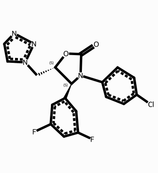 O=C1O[C@@H](Cn2ccnn2)[C@H](c2cc(F)cc(F)c2)N1c1ccc(Cl)cc1